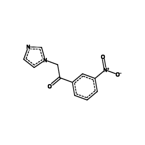 O=C(Cn1ccnc1)c1cccc([N+](=O)[O-])c1